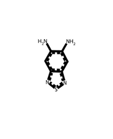 Nc1cc2nsnc2cc1N